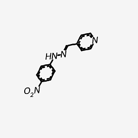 O=[N+]([O-])c1ccc(NN=Cc2ccncc2)cc1